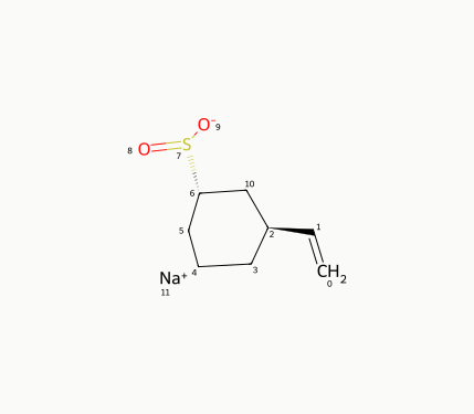 C=C[C@H]1CCC[C@H](S(=O)[O-])C1.[Na+]